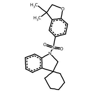 CC1(C)COc2ccc(S(=O)(=O)N3CC4(CCCCC4)c4ccccc43)cc21